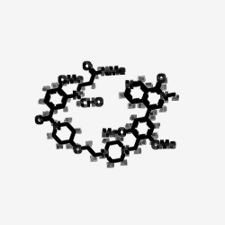 CNC(=O)CCN(C=O)c1cc(C(=O)N2CCC(OCCN3CCN(Cc4c(OC)cc(-c5cn(C)c(=O)c6cnccc56)cc4OC)CC3)CC2)ccc1OC